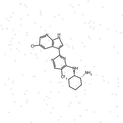 N[C@@H]1CCCC[C@H]1Nc1nc(-c2c[nH]c3ncc(Cl)cc23)ncc1C(F)(F)F